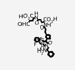 Cc1c(-c2cccc(CCC(=O)NC(CCC(=O)NC(CCC=O)C(=O)O)C(=O)O)c2)c(=O)n(C[C@H](N)c2ccccc2)c(=O)n1Cc1c(F)cccc1F